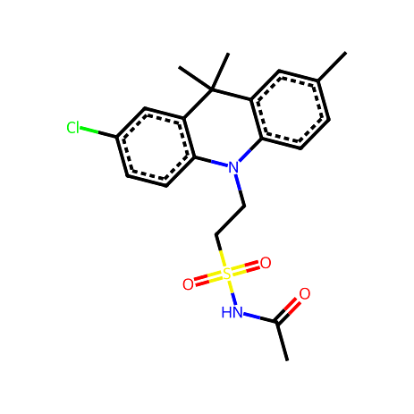 CC(=O)NS(=O)(=O)CCN1c2ccc(C)cc2C(C)(C)c2cc(Cl)ccc21